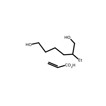 C=CC(=O)O.CCC(CO)CCCCO